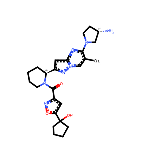 Cc1cn2nc([C@@H]3CCCCN3C(=O)c3cc(C4(O)CCCC4)on3)cc2nc1N1CC[C@H](N)C1